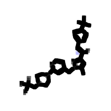 Cc1cc(/C(F)=C/c2ccc(C(C)(C)C)cc2)nn1Cc1ccnc(N2CCN(CC(F)(F)F)CC2)c1